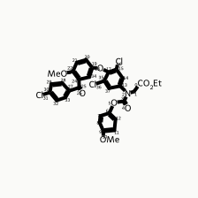 CCOC(=O)CN(C(=O)Oc1ccc(OC)cc1)c1cc(Cl)c(Oc2ccc(OC)c(C(=O)c3ccc(Cl)cc3)c2)c(Cl)c1